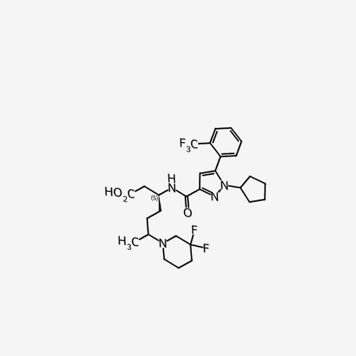 CC(CC[C@@H](CC(=O)O)NC(=O)c1cc(-c2ccccc2C(F)(F)F)n(C2CCCC2)n1)N1CCCC(F)(F)C1